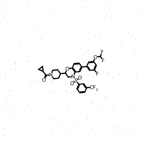 O=C(C1CC1)N1CCC(C2CN(S(=O)(=O)c3cccc(C(F)(F)F)c3)c3cc(-c4cc(F)cc(OC(F)F)c4)ccc3O2)CC1